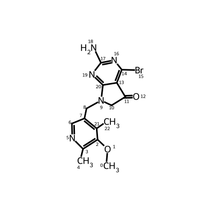 COc1c(C)ncc(CN2CC(=O)c3c(Br)nc(N)nc32)c1C